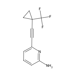 Nc1cccc(C#CC2(C(F)(F)F)CC2)n1